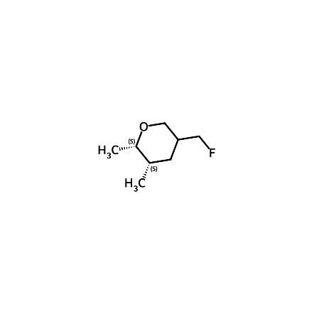 C[C@@H]1OCC(CF)C[C@@H]1C